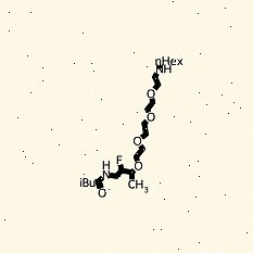 CCCCCCNCCOCCOCCOCCOC(C)C(F)CNC(=O)C(C)CC